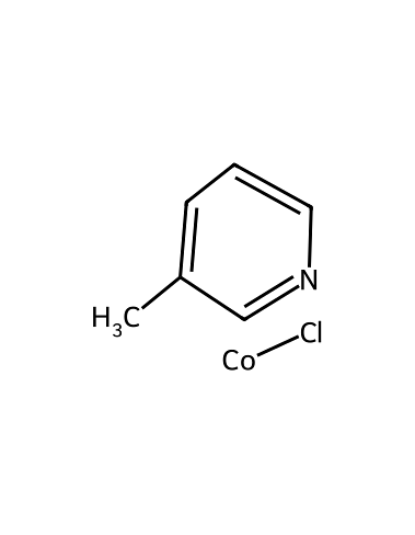 Cc1cccnc1.[Cl][Co]